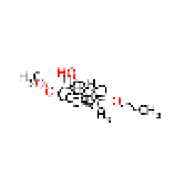 CCCCOC[C@H]1CC[C@H]2[C@@H]3CC(O)[C@H]4C[C@@H](OCOC)CC[C@]4(C)[C@H]3CC[C@]12C